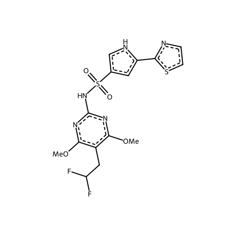 COc1nc(NS(=O)(=O)c2c[nH]c(-c3nccs3)c2)nc(OC)c1CC(F)F